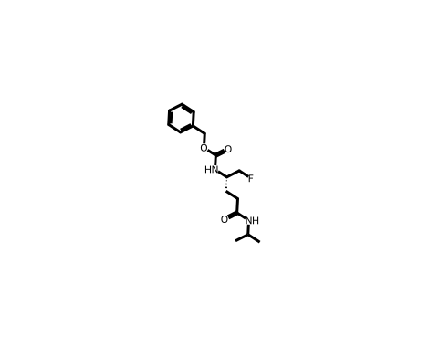 CC(C)NC(=O)CC[C@@H](CF)NC(=O)OCc1ccccc1